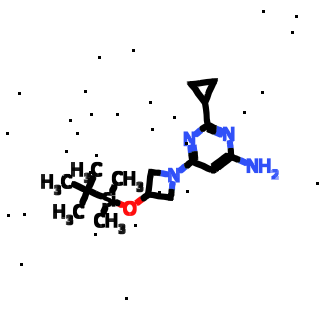 CC(C)(C)[Si](C)(C)OC1CN(c2cc(N)nc(C3CC3)n2)C1